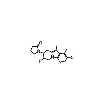 Cc1c(Cl)cnc2c1c(C)c1n2CC(F)C(N2CCCC2=O)C1